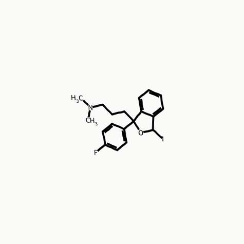 CN(C)CCCC1(c2ccc(F)cc2)OC(I)c2ccccc21